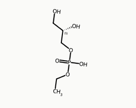 CCOP(=O)(O)OC[C@@H](O)CO